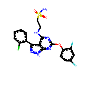 NS(=O)(=O)CCNc1nc(Oc2ccc(F)cc2F)nc2[nH]nc(-c3ccccc3Cl)c12